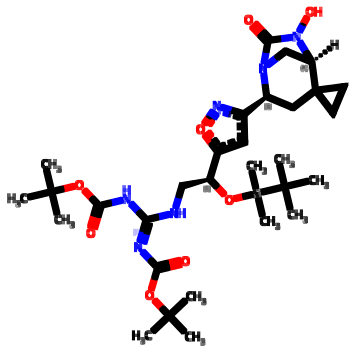 CC(C)(C)OC(=O)/N=C(\NC[C@H](O[Si](C)(C)C(C)(C)C)c1cc([C@@H]2CC3(CC3)[C@H]3CN2C(=O)N3O)no1)NC(=O)OC(C)(C)C